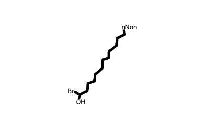 CCCCCCCCCCCCCCCCCCCCC(O)Br